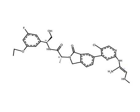 CCOc1cc(F)cc([C@@H](CO)NC(=O)[C@@H](C)N2Cc3ccc(-c4nc(N/C(N)=C/NC)ncc4Cl)cc3C2=O)c1